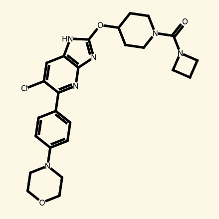 O=C(N1CCC1)N1CCC(Oc2nc3nc(-c4ccc(N5CCOCC5)cc4)c(Cl)cc3[nH]2)CC1